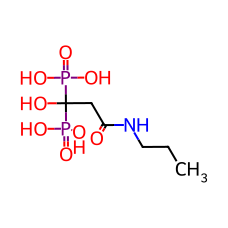 CCCNC(=O)CC(O)(P(=O)(O)O)P(=O)(O)O